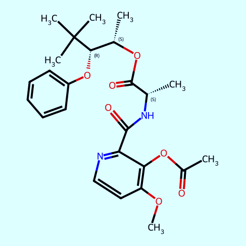 COc1ccnc(C(=O)N[C@@H](C)C(=O)O[C@@H](C)[C@H](Oc2ccccc2)C(C)(C)C)c1OC(C)=O